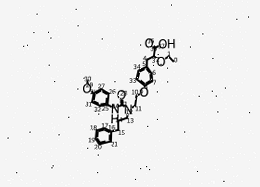 CCOC(Cc1ccc(OCCN(CCCc2ccccc2)C(=O)Nc2ccc(OC)cc2)cc1)C(=O)O